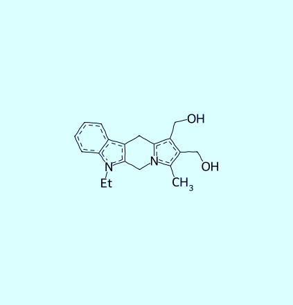 CCn1c2c(c3ccccc31)Cc1c(CO)c(CO)c(C)n1C2